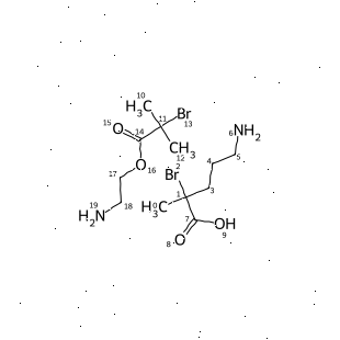 CC(Br)(CCCN)C(=O)O.CC(C)(Br)C(=O)OCCN